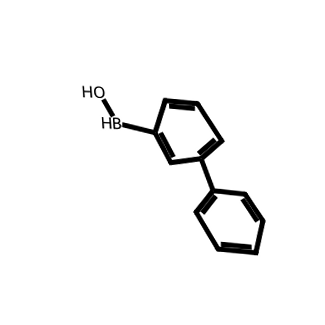 OBc1cccc(-c2ccccc2)c1